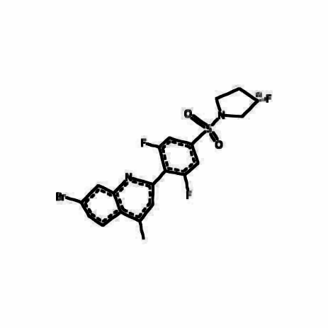 Cc1cc(-c2c(F)cc(S(=O)(=O)N3CC[C@H](F)C3)cc2F)nc2cc(Br)ccc12